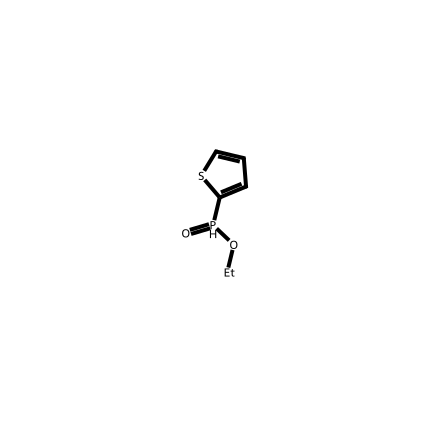 CCO[PH](=O)c1cccs1